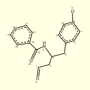 O=CCC(Cc1ccc(Cl)cc1)NC(=O)c1ccccc1